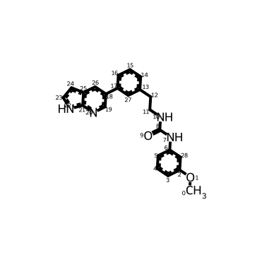 COc1cccc(NC(=O)NCCc2cccc(-c3cnc4[nH]ccc4c3)c2)c1